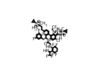 CC1(S(=O)(=O)Nc2nn(CC(F)(F)F)c3c(-c4ccc(CCC(C)(C)S(=O)(=O)C5CC5)nc4[C@H](Cc4cc(F)cc(F)c4)NC(=O)CNC4=C(C(=N)C(F)F)C(F)(F)CCC4(F)F)ccc(Cl)c23)CC1